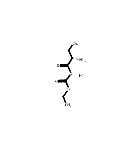 CCOC(=O)OC(=O)[C@@H](N)CC.Cl